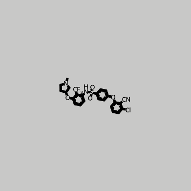 CN1CCC(Oc2cccc(NS(=O)(=O)c3ccc(Oc4cccc(Cl)c4C#N)cc3)c2C(F)(F)F)C1